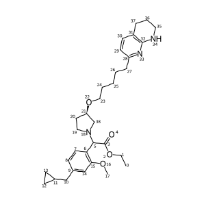 CCOC(=O)C(c1ccc(CC2CC2)cc1OC)N1CC[C@@H](OCCCCCc2ccc3c(n2)NCCC3)C1